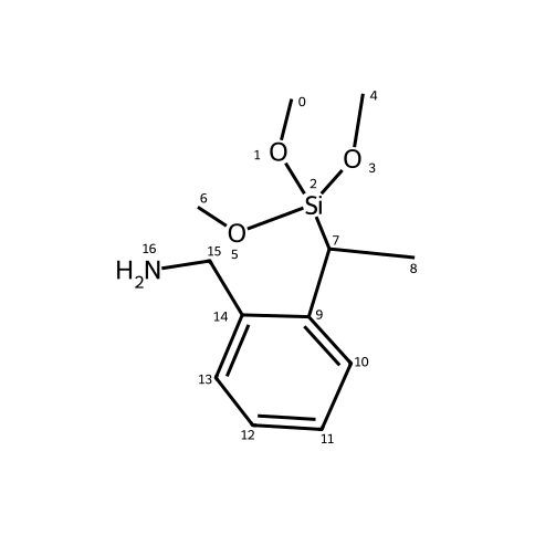 CO[Si](OC)(OC)C(C)c1ccccc1CN